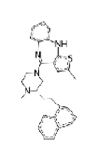 Cc1cc2c(s1)Nc1ccccc1N=C2N1CCN(C)[C@@H](CCc2cccc3ccccc23)C1